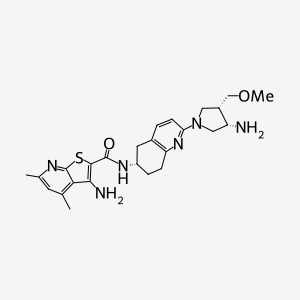 COC[C@H]1CN(c2ccc3c(n2)CC[C@H](NC(=O)c2sc4nc(C)cc(C)c4c2N)C3)C[C@H]1N